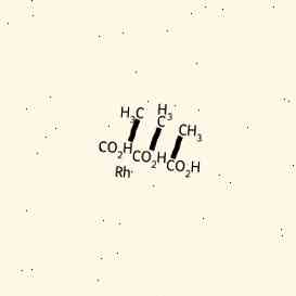 CC(=O)O.CC(=O)O.CC(=O)O.[Rh]